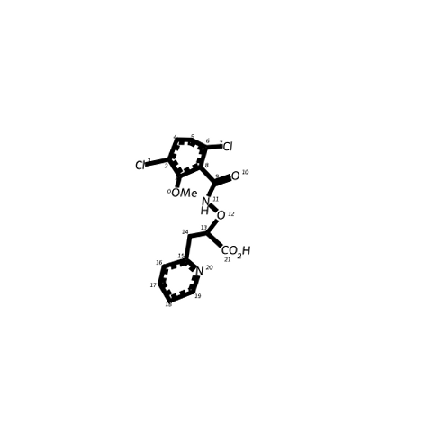 COc1c(Cl)ccc(Cl)c1C(=O)NOC(Cc1ccccn1)C(=O)O